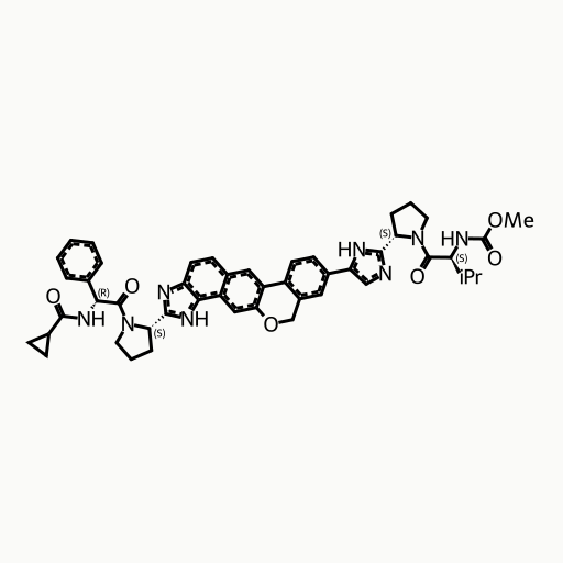 COC(=O)N[C@H](C(=O)N1CCC[C@H]1c1ncc(-c2ccc3c(c2)COc2cc4c(ccc5nc([C@@H]6CCCN6C(=O)[C@H](NC(=O)C6CC6)c6ccccc6)[nH]c54)cc2-3)[nH]1)C(C)C